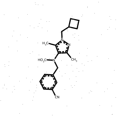 Cc1nn(CC2CCC2)c(C)c1N(Cc1cccc(C#N)c1)C(=O)O